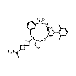 Cc1cccc(C)c1-c1cc2nc(n1)NS(=O)(=O)c1cccc(c1)CN(C1CC3(CC(C(N)=O)C3)C1)[C@H](CC(C)C)CO2